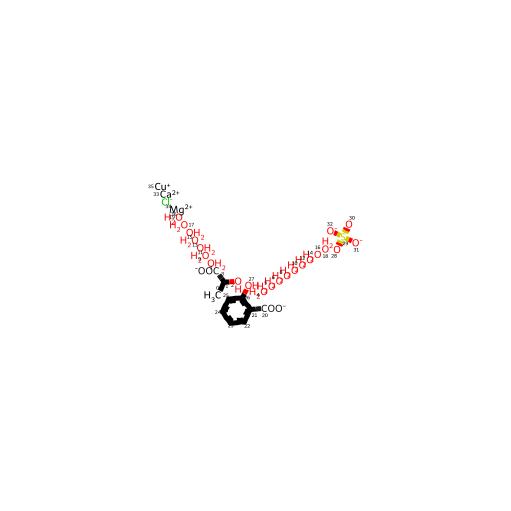 CC(O)C(=O)[O-].O.O.O.O.O.O.O.O.O.O.O.O.O.O.O.O.O=C([O-])c1ccccc1O.O=S(=O)([O-])[O-].[Ca+2].[Cl-].[Cu+].[Mg+2]